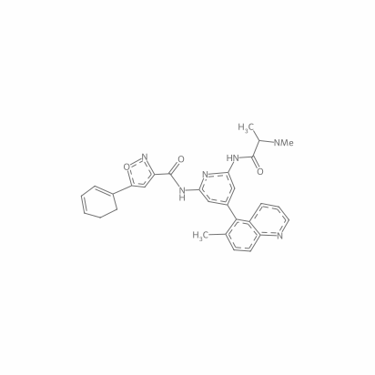 CNC(C)C(=O)Nc1cc(-c2c(C)ccc3ncccc23)cc(NC(=O)c2cc(C3=CC=CCC3)on2)n1